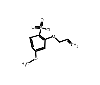 C=CCOc1cc(OC)ccc1S(=O)(=O)Cl